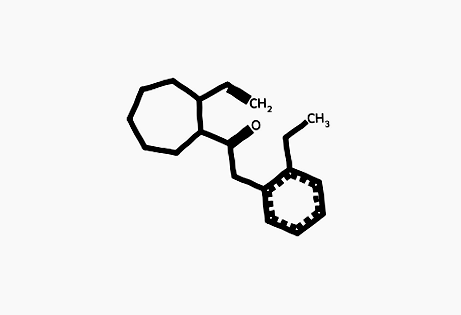 C=CC1CCCCCC1C(=O)Cc1ccccc1CC